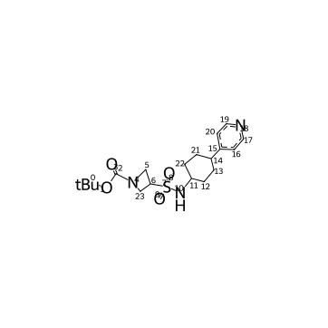 CC(C)(C)OC(=O)N1CC(S(=O)(=O)NC2CCC(c3ccncc3)CC2)C1